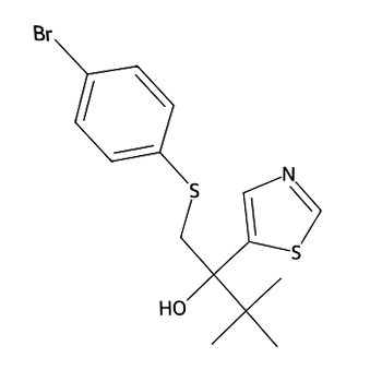 CC(C)(C)C(O)(CSc1ccc(Br)cc1)c1cncs1